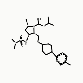 CC(C)OC(O)N1[C@H](C)C[C@H](NS(=O)(=O)N(C)C)[C@@H]1COC1CCN(c2ncc(F)cn2)CC1